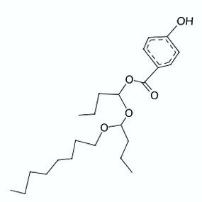 CCCCCCCCOC(CCC)OC(CCC)OC(=O)c1ccc(O)cc1